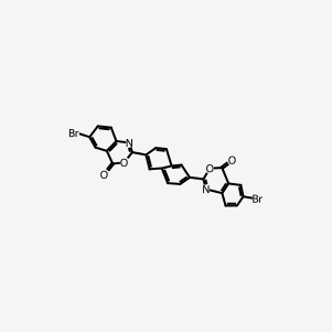 O=c1oc(-c2ccc3cc(-c4nc5ccc(Br)cc5c(=O)o4)ccc3c2)nc2ccc(Br)cc12